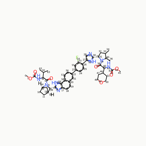 COC(=O)N[C@H](C(=O)N1[C@@H]2CC[C@@H](C2)[C@H]1c1nc2ccc3cc(-c4ccc(-c5cnc([C@@H]6CC(C)[C@@H](C)N6C(=O)[C@@H](NC(=O)OC)C6CCOCC6)[nH]5)c(F)c4)ccc3c2[nH]1)C(C)C